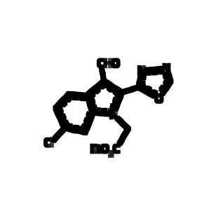 CCOC(=O)Cn1c(-c2nnco2)c(C=O)c2ccc(Cl)cc21